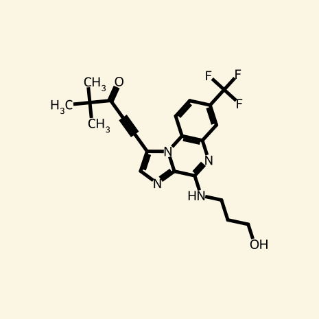 CC(C)(C)C(=O)C#Cc1cnc2c(NCCCO)nc3cc(C(F)(F)F)ccc3n12